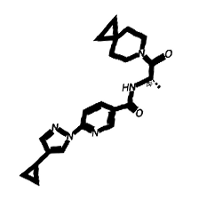 C[C@H](NC(=O)c1ccc(-n2cc(C3CC3)cn2)nc1)C(=O)N1CCC2(CC1)CC2